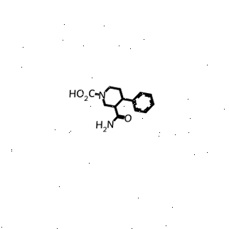 NC(=O)C1CN(C(=O)O)CCC1c1ccccc1